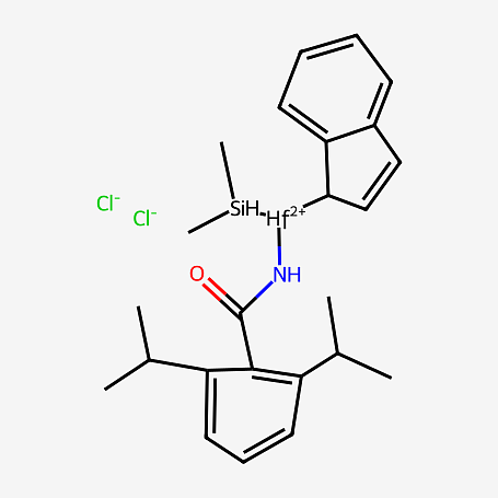 CC(C)c1cccc(C(C)C)c1C(=O)[NH][Hf+2]([CH]1C=Cc2ccccc21)[SiH](C)C.[Cl-].[Cl-]